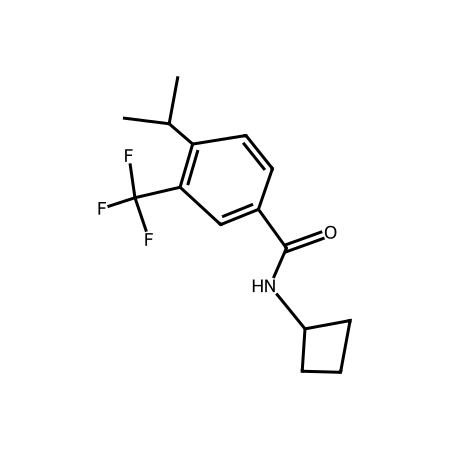 CC(C)c1ccc(C(=O)NC2CCC2)cc1C(F)(F)F